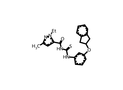 CCn1nc(C)cc1C(=O)NC(=S)Nc1cccc(OC2Cc3ccccc3C2)c1